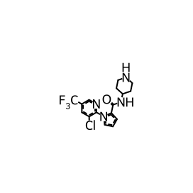 O=C(NC1CCNCC1)c1cccn1-c1ncc(C(F)(F)F)cc1Cl